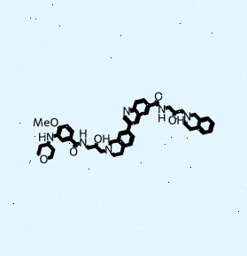 COc1ccc(C(=O)NCC(O)CN2CCc3ccc(-c4cnc5ccc(C(=O)NCC(O)CN6CCc7ccccc7C6)cc5c4)cc3C2)cc1NC1CCOCC1